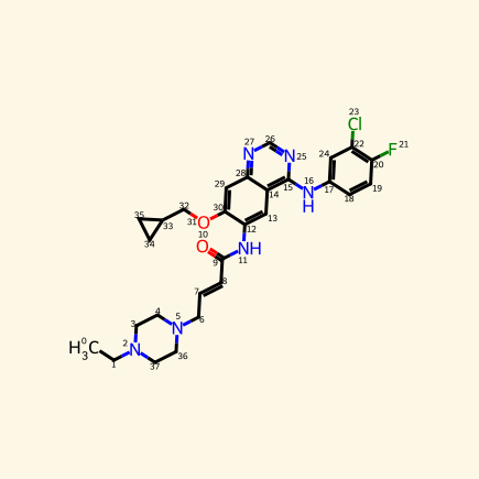 CCN1CCN(CC=CC(=O)Nc2cc3c(Nc4ccc(F)c(Cl)c4)ncnc3cc2OCC2CC2)CC1